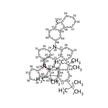 CC(C)(C)c1cc(C(C)(C)C)c2c(c1)C(C)(C)c1cccc(-c3ccccc3N(c3cccc(-n4c5ccccc5c5ccccc54)c3)c3ccc4sc5ccccc5c4c3)c1-2